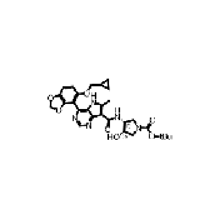 Cc1[nH]c2c(-c3c(OCC4CC4)ccc4c3OCO4)ncnc2c1C(=O)N[C@@H]1CN(C(=O)OC(C)(C)C)C[C@H]1O